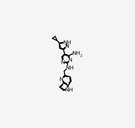 Nc1nc(NCc2ccc3[nH]ccc3n2)ncc1-c1cc(C2CC2)[nH]n1